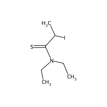 [CH2]C(I)C(=S)N(CC)CC